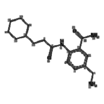 NCc1ccc(NC(=O)CCC2CCCCC2)c(C(N)=O)c1